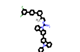 C=C(/C=C\N=C(/N)n1c2ccccc2c2cc(-c3ccc4c(c3)c3ccccc3n4-c3ccccc3)ccc21)C1C=C(c2ccc(-c3cc(F)cc(F)c3)cc2)C=CC1